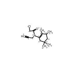 C#CCN(C(=O)CCl)C1=C(C)C(C)CC(C)(C)C1